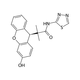 CC(C)(C(=O)Nc1nncs1)[C@@H]1c2ccccc2Oc2cc(O)ccc21